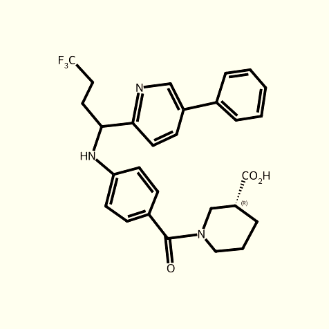 O=C(O)[C@@H]1CCCN(C(=O)c2ccc(NC(CCC(F)(F)F)c3ccc(-c4ccccc4)cn3)cc2)C1